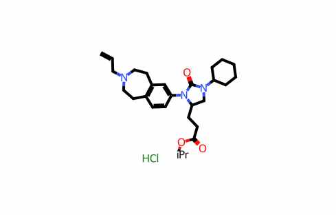 C=CCN1CCc2ccc(N3C(=O)N(C4CCCCC4)CC3CCC(=O)OC(C)C)cc2CC1.Cl